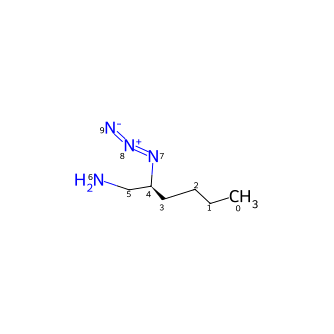 CCCC[C@@H](CN)N=[N+]=[N-]